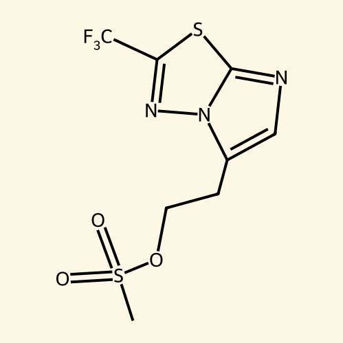 CS(=O)(=O)OCCc1cnc2sc(C(F)(F)F)nn12